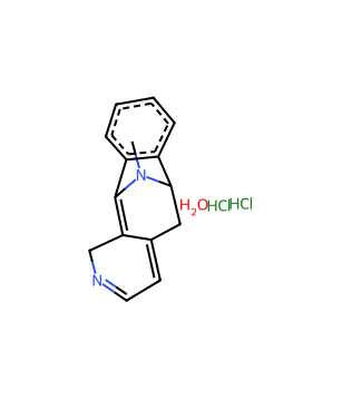 CN1C2=C3CN=CC=C3CC1c1ccccc12.Cl.Cl.O